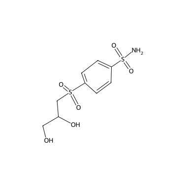 NS(=O)(=O)c1ccc(S(=O)(=O)CC(O)CO)cc1